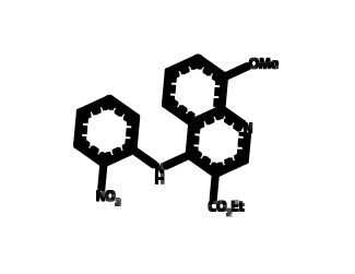 CCOC(=O)c1cnc2c(OC)cccc2c1Nc1ccccc1[N+](=O)[O-]